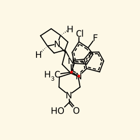 Cc1nc2ccccc2n1C1C[C@H]2CC[C@@H](C1)N2CCC1(c2ccc(F)c(Cl)c2)CCN(C(=O)O)CC1